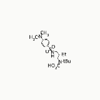 CC[C@@H](CNS(=O)(=O)c1ccc(N(C)C)cc1)CN(C(=O)O)C(C)(C)C